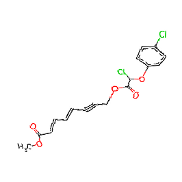 COC(=O)C=CC=CC#CCOC(=O)C(Cl)Oc1ccc(Cl)cc1